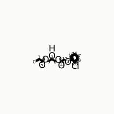 C=CC(=O)OCC(O)COC(=O)COc1ccccc1Cl